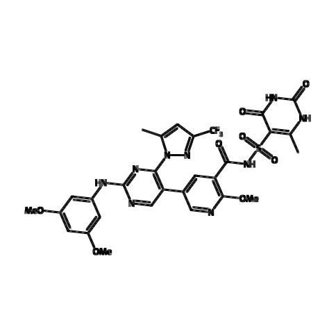 COc1cc(Nc2ncc(-c3cnc(OC)c(C(=O)NS(=O)(=O)c4c(C)[nH]c(=O)[nH]c4=O)c3)c(-n3nc(C(F)(F)F)cc3C)n2)cc(OC)c1